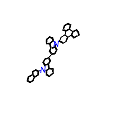 C1=C2c3ccccc3-c3ccccc3C2CC(n2c3ccccc3c3cc(-c4ccc5c(c4)c4ccccc4n5-c4ccc5ccccc5c4)ccc32)=C1